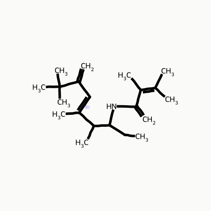 C=C(NC(CC)C(C)/C(C)=C/C(=C)C(C)(C)C)C(C)=C(C)C